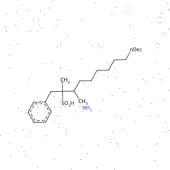 CCCCCCCCCCCCCCCC[C](C)C(C)(Cc1ccccc1)S(=O)(=O)O.N